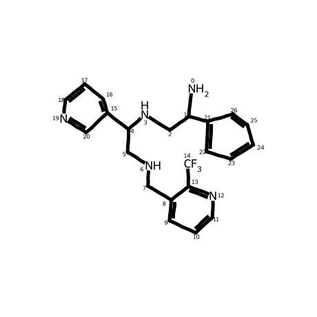 NC(CNC(CNCc1cccnc1C(F)(F)F)c1cccnc1)c1ccccc1